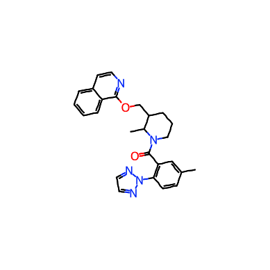 Cc1ccc(-n2nccn2)c(C(=O)N2CCCC(COc3nccc4ccccc34)C2C)c1